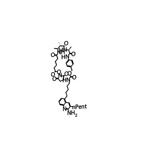 CCCCCc1cc2c(CCCCCNC(=O)OCc3ccc(NC(=O)[C@H](C)NC(=O)[C@@H](C)C(C)NC(=O)CCCCC(=O)ON4C(=O)CCC4=O)cc3)cccc2nc1N